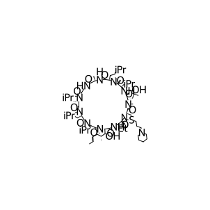 C/C=C/C[C@@H](C)[C@@H](O)[C@H]1C(=O)N[C@H](CC)C(=O)N(C)[C@H](CSCCCN2CCCCC2)C(=O)N(C)[C@@H](CC(C)(C)O)C(=O)N[C@H](C(C)C)C(=O)N(C)[C@H](CCC(C)C)C(=O)N[C@H](C)C(=O)N[C@@H](C)C(=O)N(C)[C@@H](CC(C)C)C(=O)N(C)[C@H](CC(C)C)C(=O)N(C)[C@H](C(C)C)C(=O)N1C